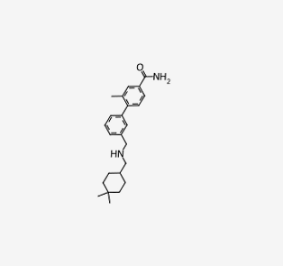 Cc1cc(C(N)=O)ccc1-c1cccc(CNCC2CCC(C)(C)CC2)c1